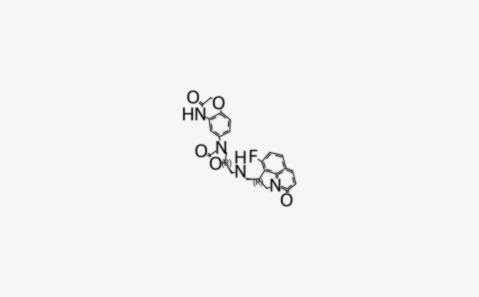 O=C1COc2ccc(N3C[C@@H](CNC[C@@H]4Cn5c(=O)ccc6ccc(F)c4c65)OC3=O)cc2N1